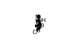 CC(C)c1nn(Cc2nnc(-c3cccnc3)[nH]2)c(=O)c2cc3sc(Cl)cc3n12